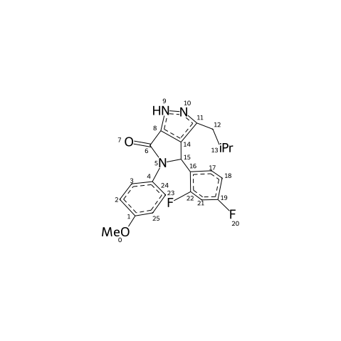 COc1ccc(N2C(=O)c3[nH]nc(CC(C)C)c3C2c2ccc(F)cc2F)cc1